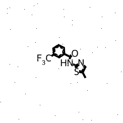 Cc1cnc(NC(=O)c2cccc(C(F)(F)F)c2)s1